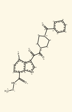 CONC(=O)c1ccc(F)c2c(C(=O)C(=O)N3CCN(C(=O)c4ccccc4)CC3)c[nH]c12